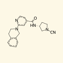 N#CN1CC[C@@H](NC(=O)c2ccnc(N3CCc4ccccc4C3)c2)C1